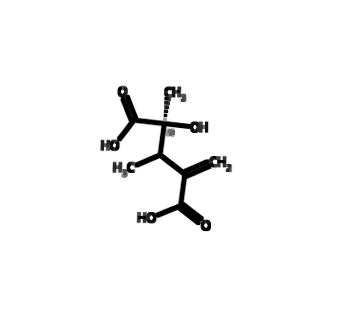 C=C(C(=O)O)C(C)[C@](C)(O)C(=O)O